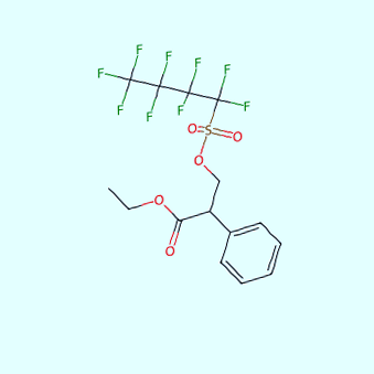 CCOC(=O)C(COS(=O)(=O)C(F)(F)C(F)(F)C(F)(F)C(F)(F)F)c1ccccc1